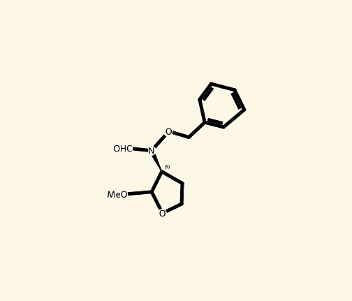 COC1OCC[C@@H]1N(C=O)OCc1ccccc1